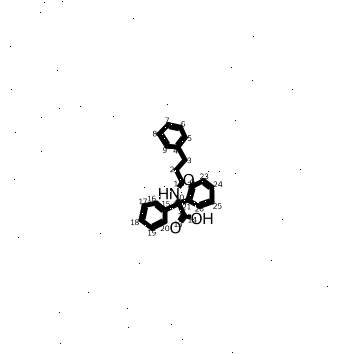 O=C(CCc1ccccc1)NC(C(=O)O)(c1ccccc1)c1ccccc1